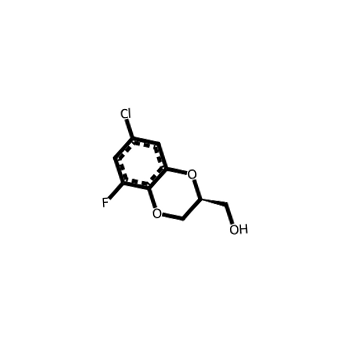 OC[C@H]1COc2c(F)cc(Cl)cc2O1